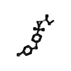 COC(=O)[C@H]1CN1S(=O)(=O)c1ccc(Oc2ccc(Cl)cc2)cc1